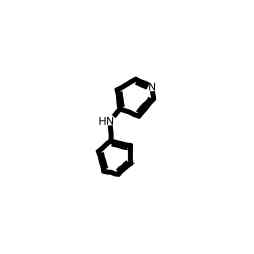 [c]1cccc(Nc2ccncc2)c1